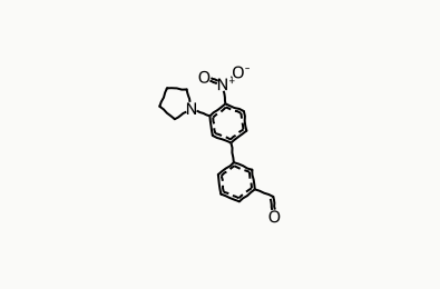 O=Cc1cccc(-c2ccc([N+](=O)[O-])c(N3CCCC3)c2)c1